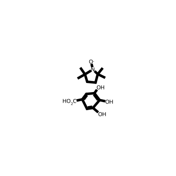 CC1(C)CCC(C)(C)N1[O].O=C(O)c1cc(O)c(O)c(O)c1